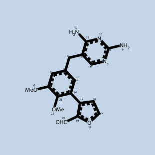 COc1cc(Cc2cnc(N)nc2N)cc(-c2ccoc2C=O)c1OC